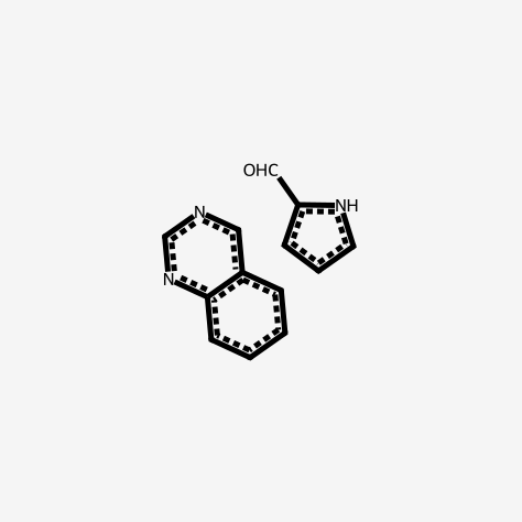 O=Cc1ccc[nH]1.c1ccc2ncncc2c1